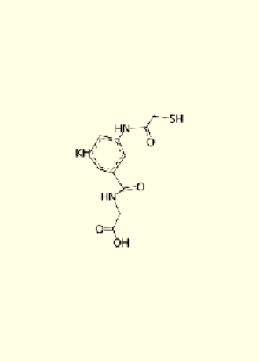 O=C(O)CNC(=O)c1cccc(NC(=O)CS)c1.[KH]